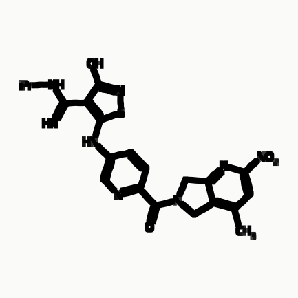 Cc1cc([N+](=O)[O-])nc2c1CN(C(=O)c1ccc(Nc3snc(O)c3C(=N)NC(C)C)cn1)C2